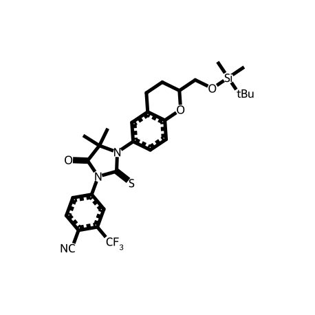 CC1(C)C(=O)N(c2ccc(C#N)c(C(F)(F)F)c2)C(=S)N1c1ccc2c(c1)CCC(CO[Si](C)(C)C(C)(C)C)O2